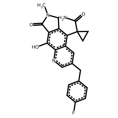 CN1Cc2c(c(O)c3ncc(Cc4ccc(F)cc4)cc3c2C2(C(N)=O)CC2)C1=O